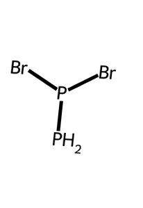 PP(Br)Br